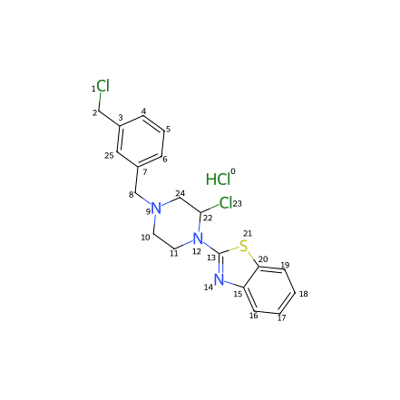 Cl.ClCc1cccc(CN2CCN(c3nc4ccccc4s3)C(Cl)C2)c1